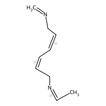 C=NC/C=C\C=C/C/N=C\C